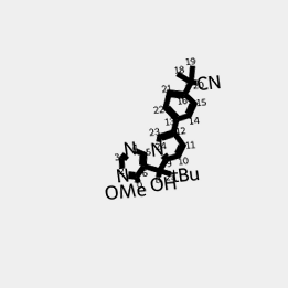 COc1ncncc1C(O)(c1ccc(-c2ccc(C(C)(C)C#N)cc2)cn1)C(C)(C)C